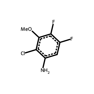 COc1c(F)c(F)cc(N)c1Cl